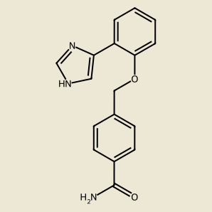 NC(=O)c1ccc(COc2ccccc2-c2c[nH]cn2)cc1